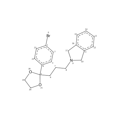 Brc1ccc(C2(CCCN3Cc4ccccc4C3)OCCO2)cc1